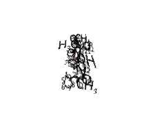 CC(CC1CCCCC1)C(=O)N1CCC(O)(Cn2cc(-c3ccccc3)c(N=S(C)(C)=O)cc2=O)C2(CCCC2)C1